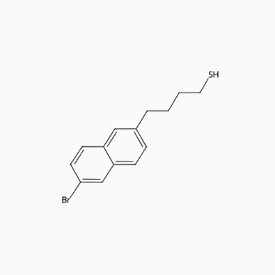 SCCCCc1ccc2cc(Br)ccc2c1